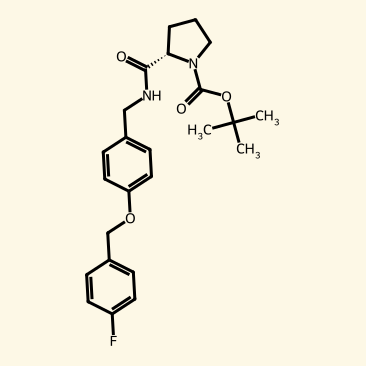 CC(C)(C)OC(=O)N1CCC[C@H]1C(=O)NCc1ccc(OCc2ccc(F)cc2)cc1